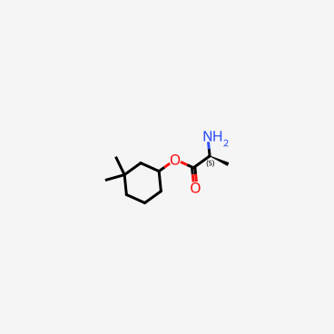 C[C@H](N)C(=O)OC1CCCC(C)(C)C1